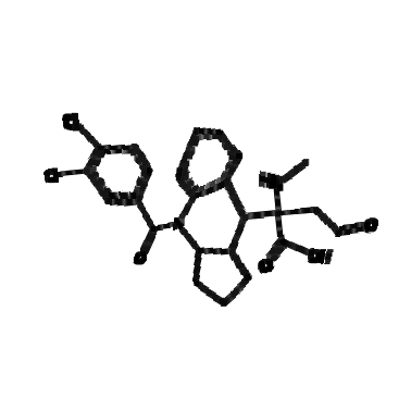 CNC(CC=O)(C(=O)O)C1c2ccccc2N(C(=O)c2ccc(Cl)c(Cl)c2)C2CCCC21